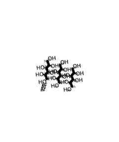 OC[C@@H](O)[C@@H](O)[C@H](O)[C@H](O)CO.OC[C@@H](O)[C@@H](O)[C@H](O)[C@H](O)CO.OC[C@@H](O)[C@@H](O)[C@H](O)[C@H](O)CO.[Ar].[Ar].[Ar]